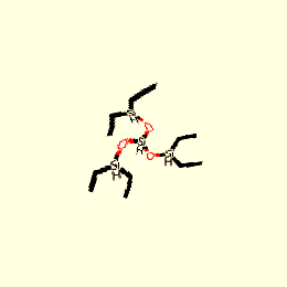 CC[SiH](CC)O[SiH](O[SiH](CC)CC)O[SiH](CC)CC